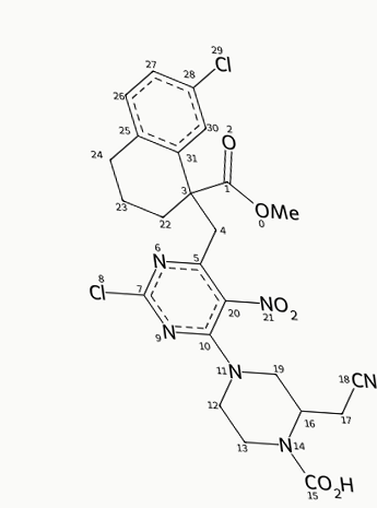 COC(=O)C1(Cc2nc(Cl)nc(N3CCN(C(=O)O)C(CC#N)C3)c2[N+](=O)[O-])CCCc2ccc(Cl)cc21